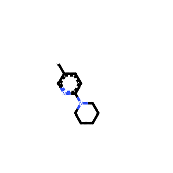 [CH2]c1ccc(N2CCCCC2)nc1